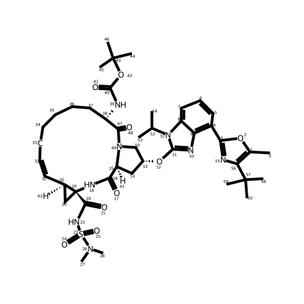 Cc1oc(-c2cccc3c2nc(O[C@@H]2C[C@H]4C(=O)N[C@]5(C(=O)NS(=O)(=O)N(C)C)C[C@H]5/C=C\CCCCC[C@H](NC(=O)OC(C)(C)C)C(=O)N4C2)n3C(C)C)nc1C(C)(C)C